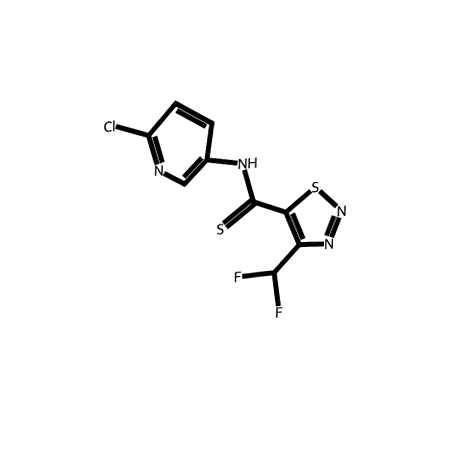 FC(F)c1nnsc1C(=S)Nc1ccc(Cl)nc1